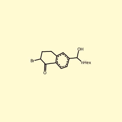 CCCCCCC(O)c1ccc2c(c1)CCC(Br)C2=O